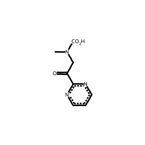 CN(CC(=O)c1ncccn1)C(=O)O